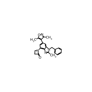 Cc1noc(C)c1-c1cc(N2CCC2=O)c2nc(C)n(Cc3ccccc3)c2c1